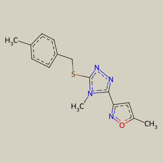 Cc1ccc(CSc2nnc(-c3cc(C)on3)n2C)cc1